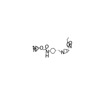 CCc1cc([C@]23CC2CN(CC[C@H]2CC[C@H](NC(=O)COc4cnn(C)c4)CC2)C3)no1